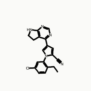 CCc1ccc(Cl)cc1-n1cc(-c2ncnc3c2CCN3)cc1C#N